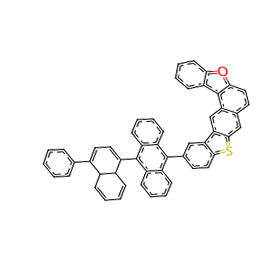 C1=CC2C(c3ccccc3)=CC=C(c3c4ccccc4c(-c4ccc5sc6cc7ccc8oc9ccccc9c8c7cc6c5c4)c4ccccc34)C2C=C1